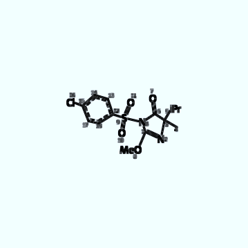 COC1=NC(C)(C(C)C)C(=O)N1S(=O)(=O)c1ccc(Cl)cc1